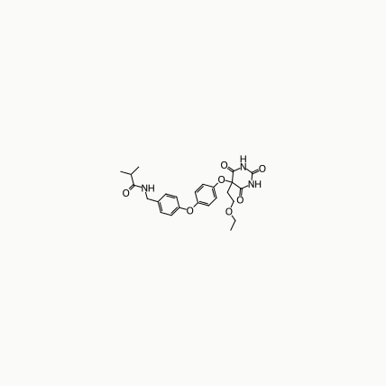 CCOCCC1(Oc2ccc(Oc3ccc(CNC(=O)C(C)C)cc3)cc2)C(=O)NC(=O)NC1=O